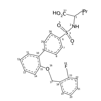 CC(C)C(NS(=O)(=O)c1ccc(-c2ccccc2OCc2ccccc2F)cc1)C(=O)O